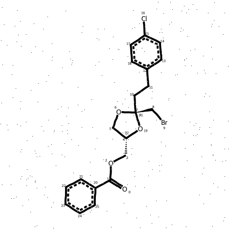 O=C(OC[C@@H]1CO[C@](CBr)(CCc2ccc(Cl)cc2)O1)c1ccccc1